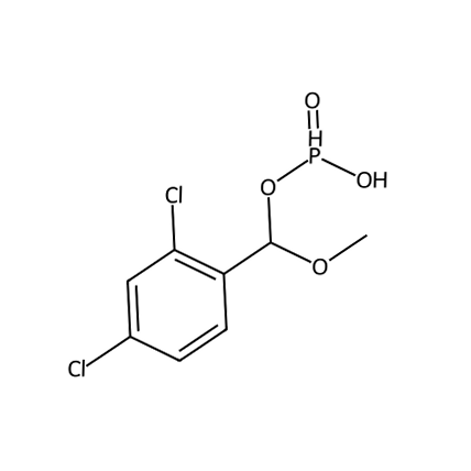 COC(O[PH](=O)O)c1ccc(Cl)cc1Cl